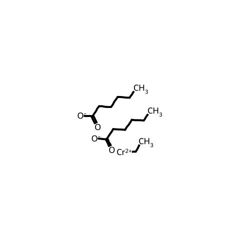 CCCCCC(=O)[O-].CCCCCC(=O)[O-].C[CH2][Cr+2]